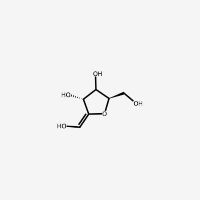 O/C=C1/O[C@H](CO)C(O)[C@H]1O